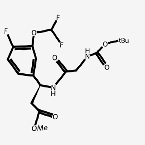 COC(=O)C[C@H](NC(=O)CNC(=O)OC(C)(C)C)c1ccc(F)c(OC(F)F)c1